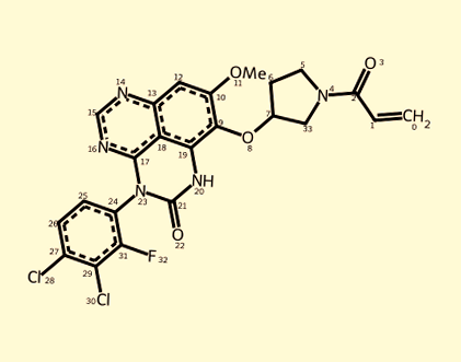 C=CC(=O)N1CCC(Oc2c(OC)cc3ncnc4c3c2NC(=O)N4c2ccc(Cl)c(Cl)c2F)C1